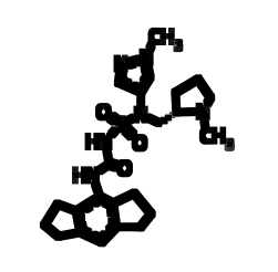 CN1CCC[C@H]1CN(c1cnn(C)c1)S(=O)(=O)NC(=O)Nc1c2c(cc3c1CCC3)CCC2